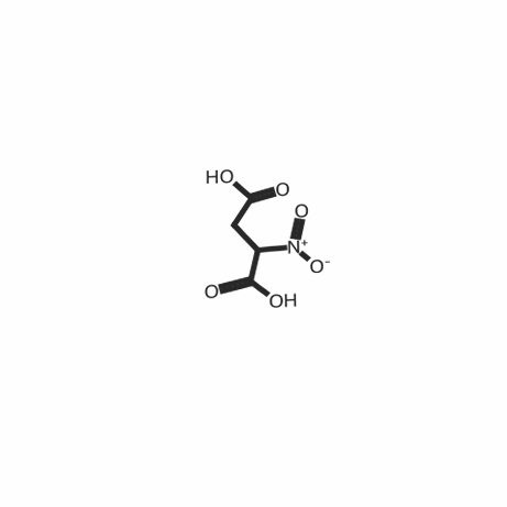 O=C(O)CC(C(=O)O)[N+](=O)[O-]